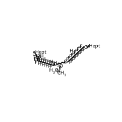 CCCCCCCOCC(F)(F)C(F)(F)C(F)(F)C(F)(P)C(F)(F)C(F)(F)C(F)(F)C(F)(F)C(F)(F)C(F)(F)COCCC(CCOCC(F)(P)C(F)(F)C(F)(P)C(F)(F)C(F)(F)C(F)(F)C(F)(F)C(F)C(F)(F)C(F)(P)COCCCCCCC)OCCN(C)C